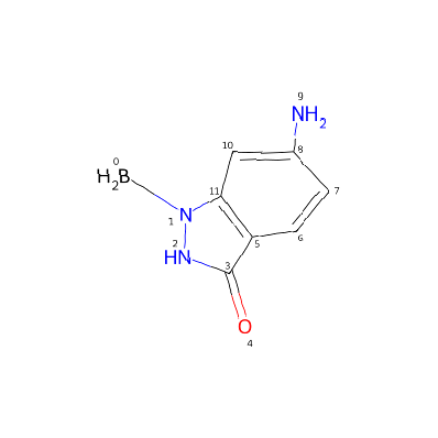 Bn1[nH]c(=O)c2ccc(N)cc21